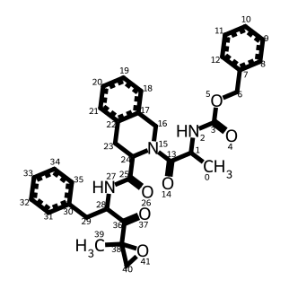 CC(NC(=O)OCc1ccccc1)C(=O)N1Cc2ccccc2CC1C(=O)NC(Cc1ccccc1)C(=O)C1(C)CO1